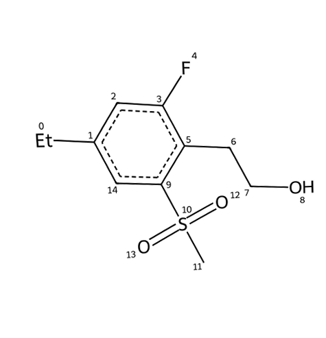 CCc1cc(F)c(CCO)c(S(C)(=O)=O)c1